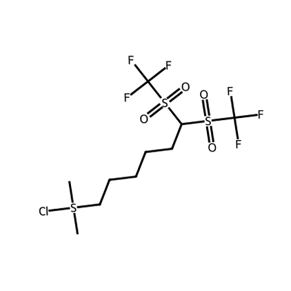 CS(C)(Cl)CCCCCC(S(=O)(=O)C(F)(F)F)S(=O)(=O)C(F)(F)F